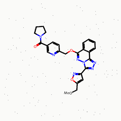 COCc1cc(-c2nnc3c4ccccc4c(OCc4ccc(C(=O)N5CCCC5)cn4)nn23)no1